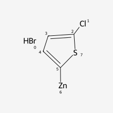 Br.Clc1cc[c]([Zn])s1